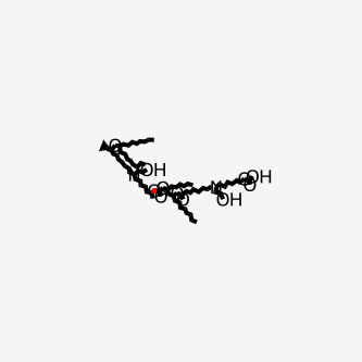 CCCCCCCCC(CC(CCCCCC)OC(=O)OC(C)CCCCCN(CCO)CCCCCCCC(OC(CCCCCCCC)CCCCCCCC)=C1CC1)OC(=O)CCCCCCCN(CCO)CCCCCCOC(=O)O